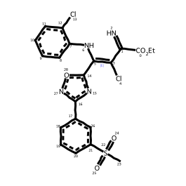 CCOC(=O)C(=N)/C(Cl)=C(\Nc1ccccc1Cl)c1nc(-c2cccc(S(C)(=O)=O)c2)no1